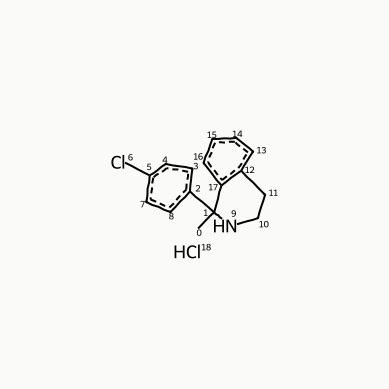 CC1(c2ccc(Cl)cc2)NCCc2ccccc21.Cl